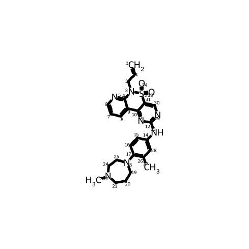 C=CCN1c2ncccc2-c2nc(Nc3ccc(N4CCCN(C)CC4)c(C)c3)ncc2S1(=O)=O